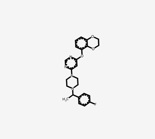 CC(c1ccc(F)cc1)N1CCN(c2cc(Oc3cccc4c3OCCO4)ncn2)CC1